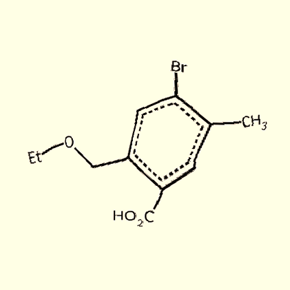 CCOCc1cc(Br)c(C)cc1C(=O)O